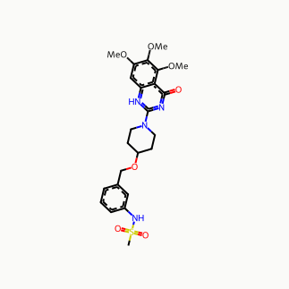 COc1cc2[nH]c(N3CCC(OCc4cccc(NS(C)(=O)=O)c4)CC3)nc(=O)c2c(OC)c1OC